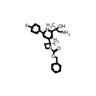 C[C@](O)(CN)c1cc([C@]2(C)CCN2C(=O)OCc2ccccc2)cc(-c2ccc(F)cc2)n1